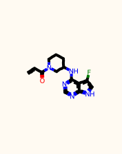 C=CC(=O)N1CCCC(Nc2ncnc3[nH]cc(F)c23)C1